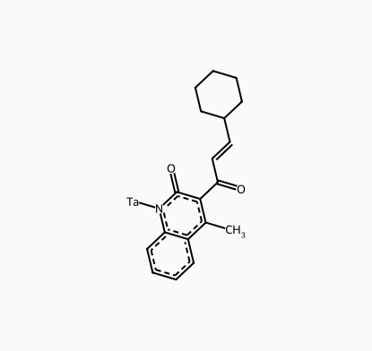 Cc1c(C(=O)/C=C/C2CCCCC2)c(=O)[n]([Ta])c2ccccc12